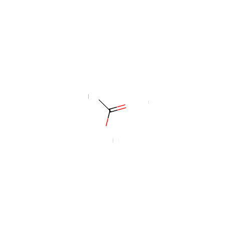 CC(=O)[O-].I.[Cu+]